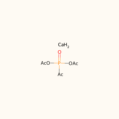 CC(=O)OP(=O)(OC(C)=O)C(C)=O.[CaH2]